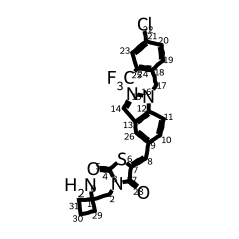 NC1(CN2C(=O)SC(=Cc3ccc4c(cnn4Cc4ccc(Cl)cc4C(F)(F)F)c3)C2=O)CCC1